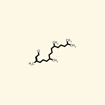 CC(=CCCl)CCCC(C)CCCC(C)CCCC(C)C